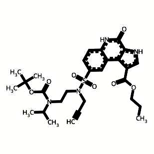 C#CCN(CCN(C(=O)OC(C)(C)C)C(C)C)S(=O)(=O)c1ccc2[nH]c(=O)c3[nH]cc(C(=O)OCCC)c3c2c1